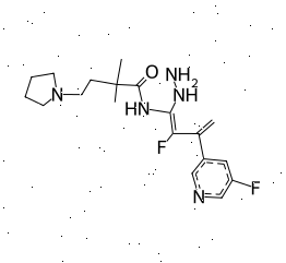 C=C(/C(F)=C(\NN)NC(=O)C(C)(C)CCN1CCCC1)c1cncc(F)c1